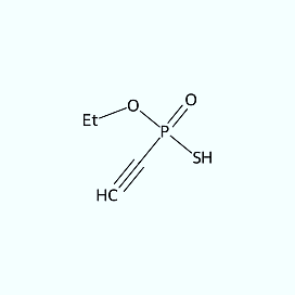 C#CP(=O)(S)OCC